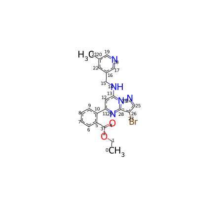 CCOC(=O)c1ccccc1-c1cc(NCc2cncc(C)c2)n2ncc(Br)c2n1